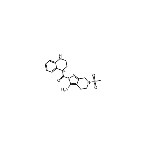 CS(=O)(=O)N1CCc2c(nn(C(=O)[C@@H]3CCNc4ccccc43)c2N)C1